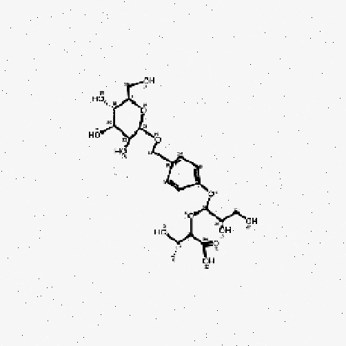 C[C@H](O)C(O[C@@H](Oc1ccc(COC2OC(CO)[C@@H](O)[C@H](O)C2O)cc1)[C@@H](O)CO)C(=O)O